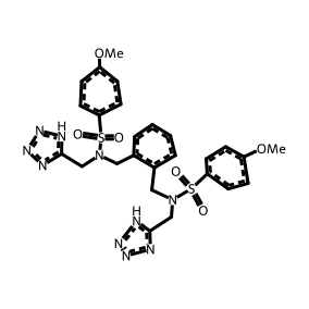 COc1ccc(S(=O)(=O)N(Cc2nnn[nH]2)Cc2ccccc2CN(Cc2nnn[nH]2)S(=O)(=O)c2ccc(OC)cc2)cc1